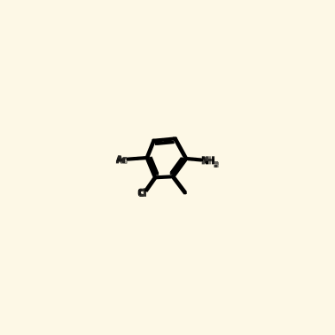 CC(=O)c1ccc(N)c(C)c1Cl